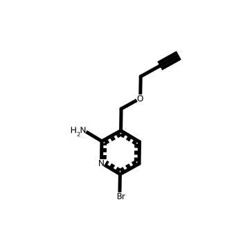 C#CCOCc1ccc(Br)nc1N